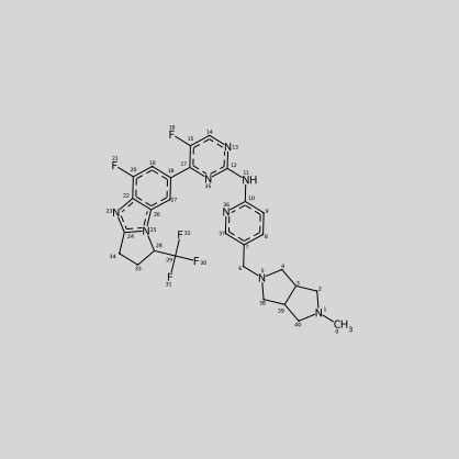 CN1CC2CN(Cc3ccc(Nc4ncc(F)c(-c5cc(F)c6nc7n(c6c5)C(C(F)(F)F)CC7)n4)nc3)CC2C1